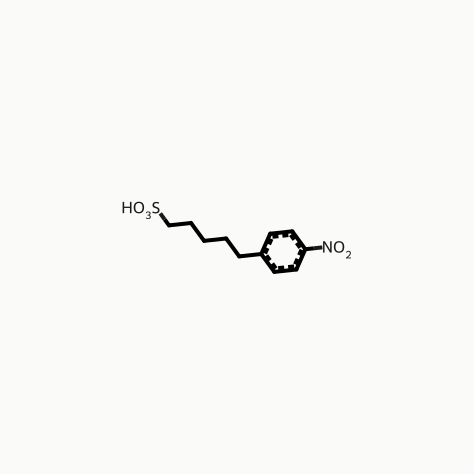 O=[N+]([O-])c1ccc(CCCCCS(=O)(=O)O)cc1